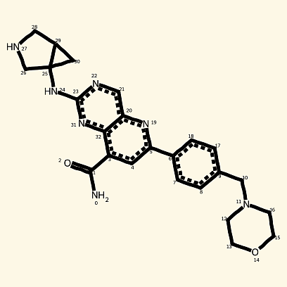 NC(=O)c1cc(-c2ccc(CN3CCOCC3)cc2)nc2cnc(NC34CNCC3C4)nc12